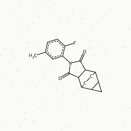 Cc1ccc(F)c(N2C(=O)C3C4CCC(C5CC54)C3C2=O)c1